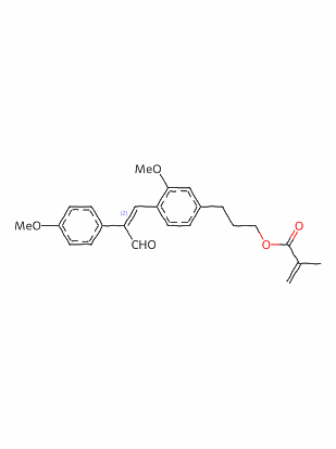 C=C(C)C(=O)OCCCc1ccc(/C=C(\C=O)c2ccc(OC)cc2)c(OC)c1